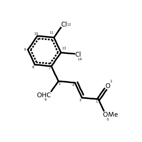 COC(=O)C=CC(C=O)c1cccc(Cl)c1Cl